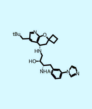 CC(=O)N[C@@H](Cc1cccc(-n2ccnc2)c1)[C@@H](O)CN[C@H]1CC2(CCC2)Oc2ncc(CC(C)(C)C)cc21